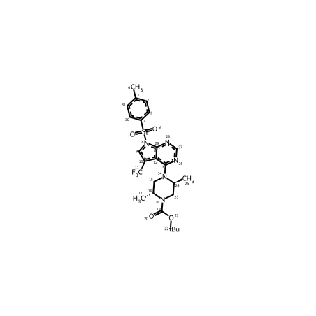 Cc1ccc(S(=O)(=O)n2cc(C(F)(F)F)c3c(N4C[C@@H](C)N(C(=O)OC(C)(C)C)C[C@@H]4C)ncnc32)cc1